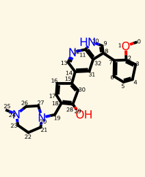 COc1ccccc1-c1c[nH]c2ncc(-c3ccc(CN4CCCN(C)CC4)c(O)c3)cc12